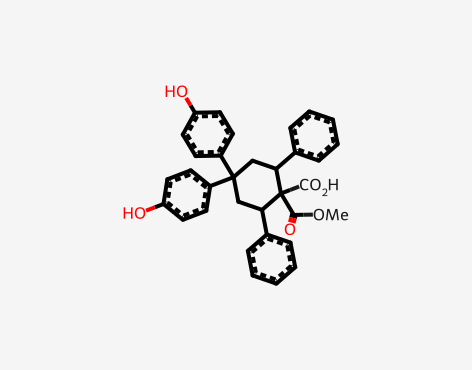 COC(=O)C1(C(=O)O)C(c2ccccc2)CC(c2ccc(O)cc2)(c2ccc(O)cc2)CC1c1ccccc1